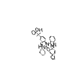 CC(C)(C(=O)O)c1ccc(N(C(=O)NC2CCCCC2)c2c3ccccc3nn2-c2ccc(Cl)cc2)c(F)c1